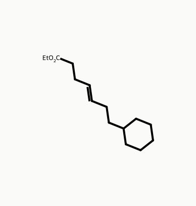 CCOC(=O)CC/C=C/CCC1CCCCC1